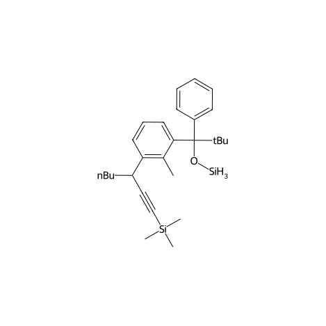 CCCCC(C#C[Si](C)(C)C)c1cccc(C(O[SiH3])(c2ccccc2)C(C)(C)C)c1C